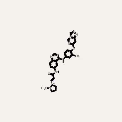 Cc1cc(Nc2ncnc3ccc(NC(=O)/C=C/[C@@H]4CCCN4C)cc23)ccc1Oc1cc2nncn2cn1